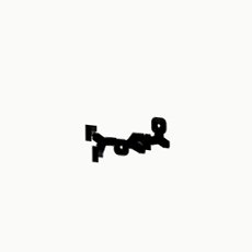 CC(=O)N1CC(OCC(F)F)C1